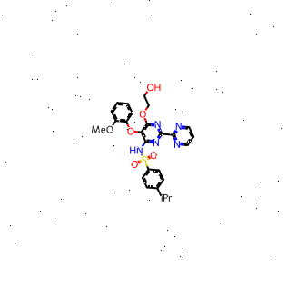 COc1ccccc1Oc1c(NS(=O)(=O)c2ccc(C(C)C)cc2)nc(-c2ncccn2)nc1OCCO